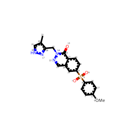 COc1ccc(S(=O)(=O)c2ccc3c(=O)n(Cc4n[nH]cc4C)ncc3c2)cc1